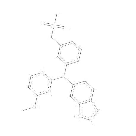 CNc1ccnc(N(c2cccc(CS(C)(=O)=O)c2)c2ccc3cn[nH]c3c2)n1